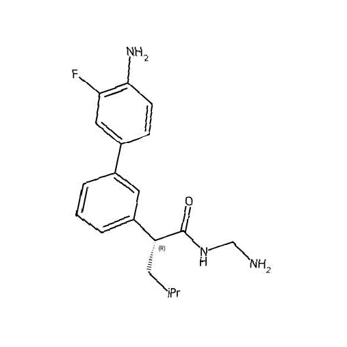 CC(C)C[C@@H](C(=O)NCN)c1cccc(-c2ccc(N)c(F)c2)c1